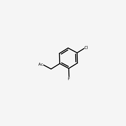 CC(=O)Cc1ccc(Cl)cc1F